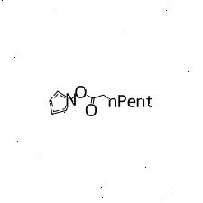 CCCCCCC(=O)On1cccc1